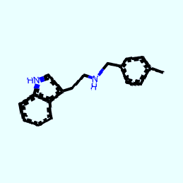 Cc1ccc(CNCCc2c[nH]c3ccccc23)cc1